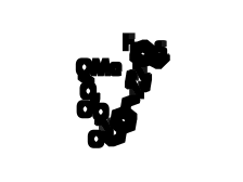 COCCOCC(=O)OCN1C(=O)CCc2ccc(CCN3CCN(c4cc(F)cc5sccc45)CC3)cc21